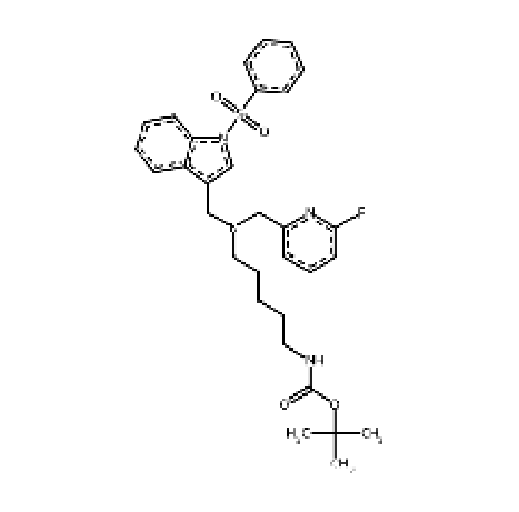 CC(C)(C)OC(=O)NCCCCCN(Cc1cccc(F)n1)Cc1cn(S(=O)(=O)c2ccccc2)c2ccccc12